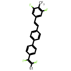 CC/C(F)=C(\F)c1ccc(-c2ccc(/C=C/c3cc(F)c(C(F)(F)F)c(F)c3)cc2)cc1